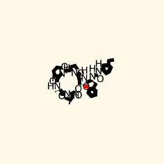 CCc1cccc(NC(=O)N[C@@H](Cc2ccccc2)C(=O)N[C@@H]2C(=O)N3CCC[C@H]3C(=O)N3CCCC[C@H]3C(=O)N[C@@H](C)C(=O)N3C[C@H](C)C[C@H]3C(=O)O[C@H]2C)c1